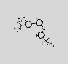 Cc1cc(-c2cc(Oc3cncc(C(C)(F)F)c3)ccn2)ccc1C(N)=O